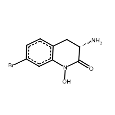 N[C@H]1Cc2ccc(Br)cc2N(O)C1=O